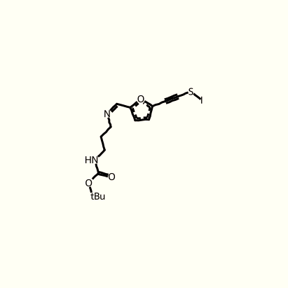 CC(C)(C)OC(=O)NCCC/N=C\c1ccc(C#CSI)o1